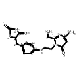 CCc1nc(C)cc(=O)n1CCOc1ccc(CC2SC(=O)NC2=O)cc1